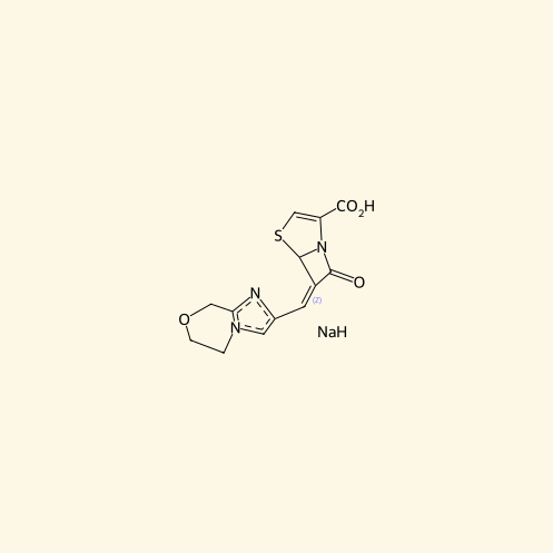 O=C(O)C1=CSC2/C(=C\c3cn4c(n3)COCC4)C(=O)N12.[NaH]